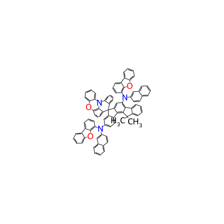 CC1(C)c2ccccc2-c2c(N(c3ccc4ccccc4c3)c3cccc4c3oc3ccccc34)cc3c(c21)-c1ccc(N(c2ccc4ccccc4c2)c2cccc4c2oc2ccccc24)cc1C31c2ccccc2N2c3ccccc3Oc3cccc1c32